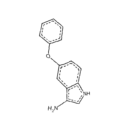 Nc1c[nH]c2ccc(Oc3ccccc3)cc12